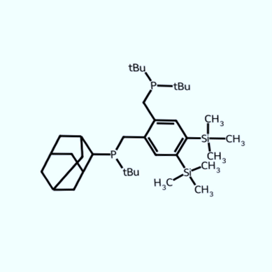 CC(C)(C)P(Cc1cc([Si](C)(C)C)c([Si](C)(C)C)cc1CP(C(C)(C)C)C(C)(C)C)C1C2CC3CC(C2)CC1C3